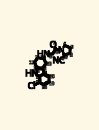 N#C[C@@H]1CCCN1C(=O)CNC1CCc2[nH]c3c(Cl)cccc3c2C1